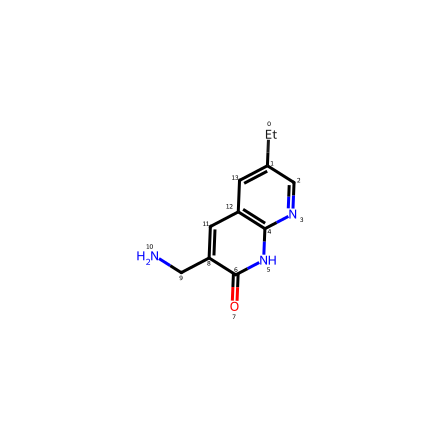 CCc1cnc2[nH]c(=O)c(CN)cc2c1